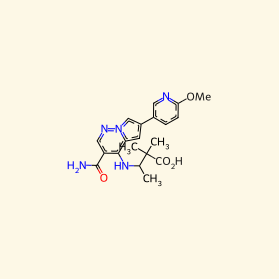 COc1ccc(-c2cc3c(NC(C)C(C)(C)C(=O)O)c(C(N)=O)cnn3c2)cn1